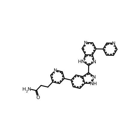 NC(=O)CCc1cncc(-c2ccc3[nH]nc(-c4nc5c(-c6cccnc6)cncc5[nH]4)c3c2)c1